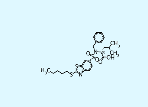 CCCCCSc1nc2ccc(S(=O)(=O)N(Cc3ccccc3)[C@H](CC(C)C)C(=O)O)cc2s1